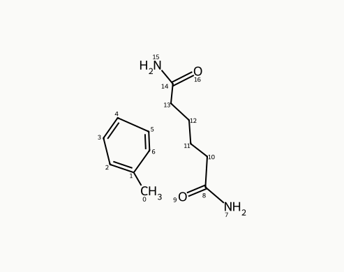 Cc1ccccc1.NC(=O)CCCCC(N)=O